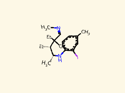 CC[C@@H]([C@@H](C)Nc1ccc(C)cc1I)C(C)(/C=N\C)CC